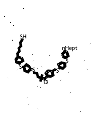 CCCCCCCc1ccc(Sc2ccc(SCc3ccc(C(=O)C(C)(C)CCCSc4ccc(Sc5ccc(CCCCCCS)cc5)cc4)cc3)cc2)cc1